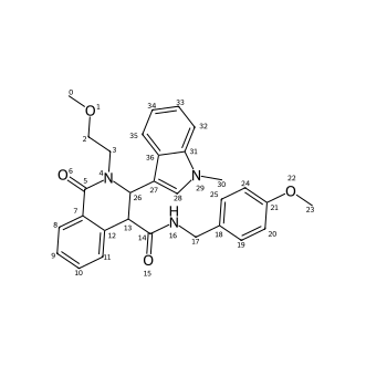 COCCN1C(=O)c2ccccc2C(C(=O)NCc2ccc(OC)cc2)C1c1cn(C)c2ccccc12